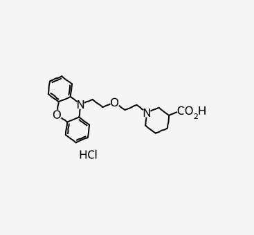 Cl.O=C(O)C1CCCN(CCOCCN2c3ccccc3Oc3ccccc32)C1